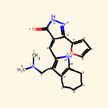 CN(C)Cc1c(/C=C2/C(=O)NN=C2c2ccco2)[nH]c2c1CCCC2